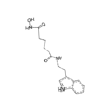 O=C(CCCCC(=O)NCCc1c[nH]c2ccccc12)NO